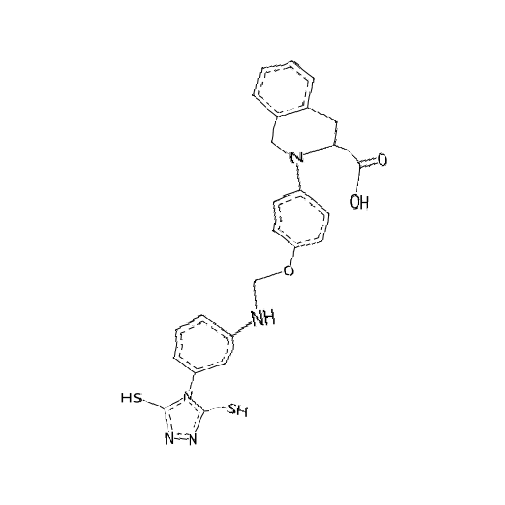 O=C(O)C1Cc2ccccc2CN1c1ccc(OCNc2cccc(-n3c(S)nnc3S)c2)cc1